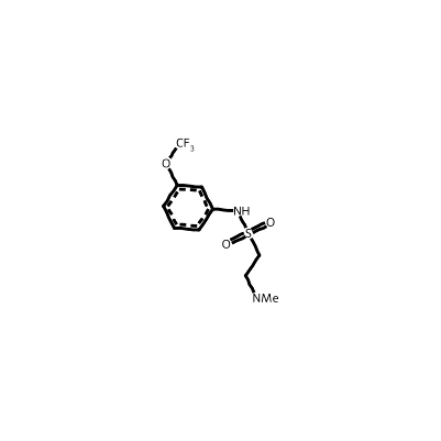 CNCCS(=O)(=O)Nc1cccc(OC(F)(F)F)c1